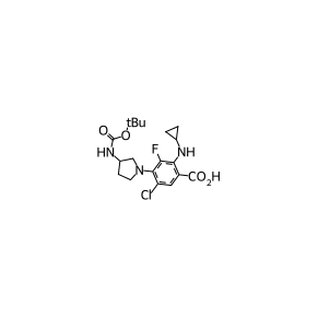 CC(C)(C)OC(=O)NC1CCN(c2c(Cl)cc(C(=O)O)c(NC3CC3)c2F)C1